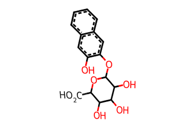 O=C(O)C1OC(Oc2cc3ccccc3cc2O)C(O)C(O)C1O